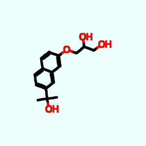 CC(C)(O)c1ccc2ccc(OCC(O)CO)cc2c1